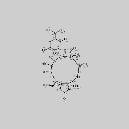 CC[C@H]1OC(=O)C(C)C(=O)[C@H](C)[C@@H](O[C@@H]2OC(C)CC(N(C)C)C2O)[C@](C)(OC)C[C@@H](C)CN[C@H](C)[C@H]2NC(=O)O[C@@]21C